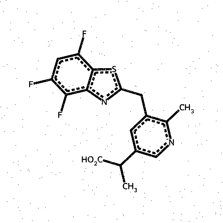 Cc1ncc(C(C)C(=O)O)cc1Cc1nc2c(F)c(F)cc(F)c2s1